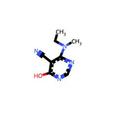 CCN(C)c1ncnc(O)c1C#N